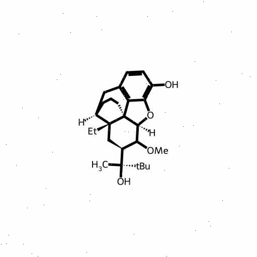 CC[C@]12C[C@H]([C@](C)(O)C(C)(C)C)C(OC)[C@@H]3Oc4c(O)ccc5c4[C@@]31CCC[C@@H]2C5